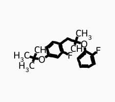 CC(C)(C)Oc1ccc(CC(C)(C)Oc2ccccc2F)c(F)c1